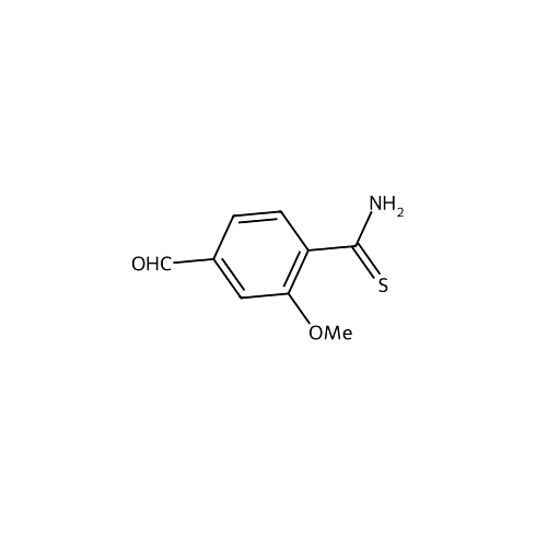 COc1cc(C=O)ccc1C(N)=S